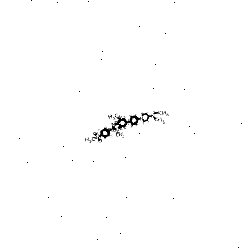 CCN(C)C1CCN(c2ccc(-c3cc(C)c4nc(-c5ccc(S(C)(=O)=O)cc5)n(C)c4c3)cc2)CC1